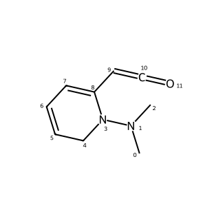 CN(C)N1CC=CC=C1C=C=O